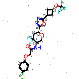 O=C(COc1ccc(Cl)cc1)N[C@H]1CO[C@H](c2nnc(C3CC(OC(F)(F)F)C3)o2)CC1(F)F